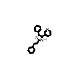 C(=Cc1ccccc1)C1=NC(c2ccccc2)C(c2cccnc2)N1